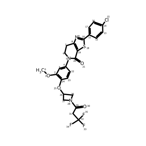 COc1cc(N2CCc3nc(-c4ccc(Cl)cc4)sc3C2=O)ccc1OC1CN(C(=O)CC(F)(F)F)C1